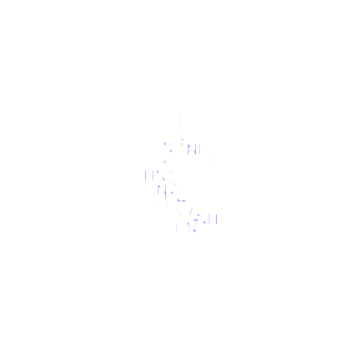 C[C@@H](CN)CN1CC[C@@H](c2cc3cn(-c4ccc(C(=N)NC5CCCC5)cc4)c(=O)nc3[nH]2)C1